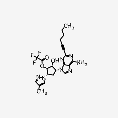 CCCCC#Cc1nc(N)c2ncn([C@@H]3C[C@H](n4cc(C)cn4)[C@@H](OC(=O)C(F)(F)F)[C@H]3O)c2n1